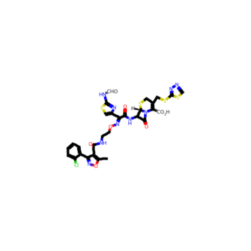 Cc1onc(-c2ccccc2Cl)c1C(=O)NCCON=C(C(=O)NC1C(=O)N2C(C(=O)O)=C(CSc3nncs3)CS[C@@H]12)c1csc(NC=O)n1